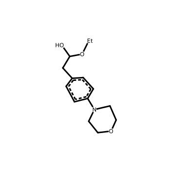 CCOC(O)Cc1ccc(N2CCOCC2)cc1